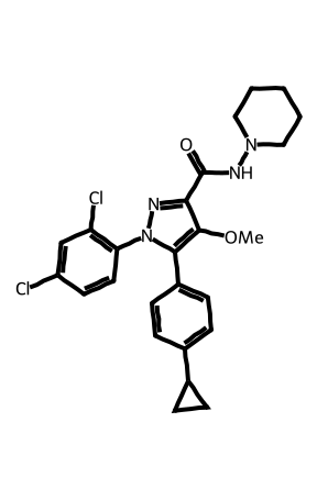 COc1c(C(=O)NN2CCCCC2)nn(-c2ccc(Cl)cc2Cl)c1-c1ccc(C2CC2)cc1